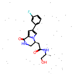 C[C@H](CO)NC(=O)C[C@H]1CNC(=O)c2cc(-c3cccc(F)c3)cn21